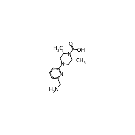 C[C@@H]1CN(c2cccc(CN)n2)C[C@H](C)N1C(=O)O